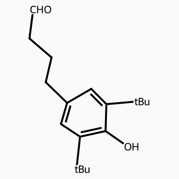 CC(C)(C)c1cc(CCCC=O)cc(C(C)(C)C)c1O